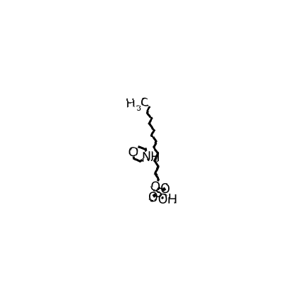 C1COCCN1.CCCCCCCCCCCCCCOS(=O)(=O)O